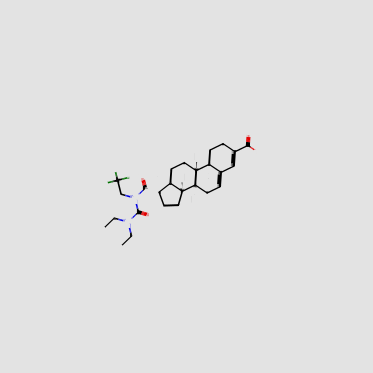 CCN(CC)C(=O)N(CC(F)(F)F)C(=O)[C@H]1CC[C@H]2[C@@H]3CC=C4C=C(C(=O)O)CC[C@]4(C)[C@H]3CC[C@]12C